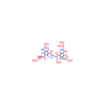 O=C(CO)Nc1c(I)c(C(=O)NCCN(CCO)C(=O)c2c(I)c(NC(=O)CO)c(I)c(C(=O)NCC(O)CO)c2I)c(I)c(C(=O)NCC(O)CO)c1I